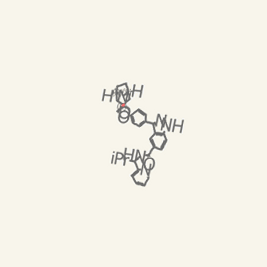 CC(C)C(NC(=O)c1ccc2[nH]nc(-c3ccc(O[C@H]4C[C@H]5CC[C@@H](C4)N5C4COC4)cc3)c2c1)c1ccccn1